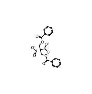 O=C(OCC(COC(=O)c1ccccc1)([N+](=O)[O-])[N+](=O)[O-])c1ccccc1